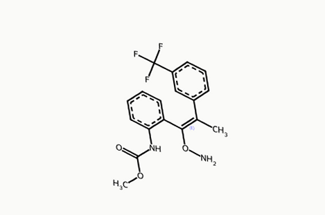 COC(=O)Nc1ccccc1/C(ON)=C(/C)c1cccc(C(F)(F)F)c1